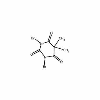 CC1(C)C(=O)N(Br)C(=O)N(Br)C1=O